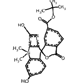 CC(C)(C)OC(=O)c1ccc2c(c1)C1(OC2=O)c2ccc(O)cc2[Si](C)(C)c2cc(O)ccc21